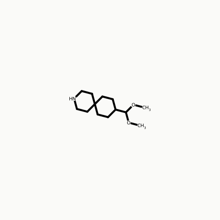 COC(OC)C1CCC2(CCNCC2)CC1